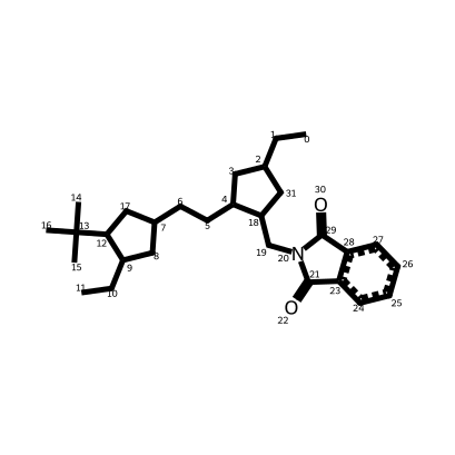 CCC1CC(CCC2CC(CC)C(C(C)(C)C)C2)C(CN2C(=O)c3ccccc3C2=O)C1